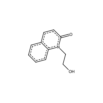 O=c1ccc2ccccc2n1CCO